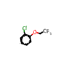 FC(F)(F)COc1cc[c]cc1Cl